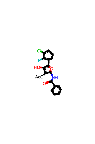 CC(=O)Oc1c(NC(=O)c2ccccc2)oc(-c2cccc(Cl)c2F)c1O